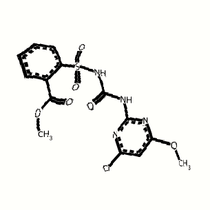 COC(=O)c1ccccc1S(=O)(=O)NC(=O)Nc1nc(Cl)cc(OC)n1